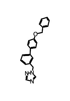 c1ccc(COc2ccc(-c3cccc(Cn4cncn4)c3)cc2)cc1